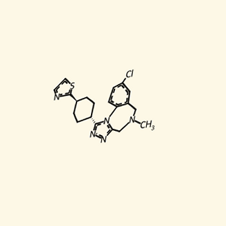 CN1Cc2cc(Cl)ccc2-n2c(nnc2[C@H]2CC[C@H](c3nccs3)CC2)C1